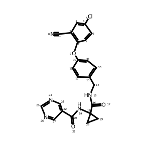 N#Cc1cc(Cl)ccc1Oc1ccc(CNC(=O)C2(NC(=O)c3cncnc3)CC2)cc1